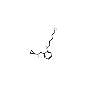 CC(=O)CCCCCOc1ccccc1CNC1CC1